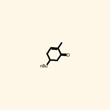 CCCCC1CC=C(C)C(=O)C1